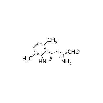 Cc1ccc(C)c2c(C[C@H](N)[C]=O)c[nH]c12